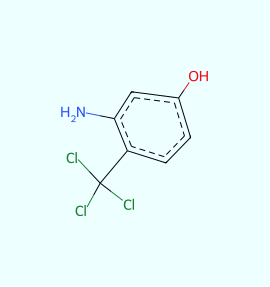 Nc1cc(O)ccc1C(Cl)(Cl)Cl